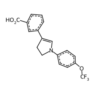 O=C(O)c1cccc(C2=CN(c3ccc(OC(F)(F)F)cc3)CC2)c1